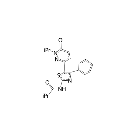 CC(C)C(=O)Nc1nc(-c2ccccc2)c(-c2ccc(=O)n(C(C)C)n2)s1